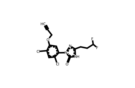 C#CCOc1cc(-n2nc(CCC(F)F)[nH]c2=O)c(Cl)cc1Cl